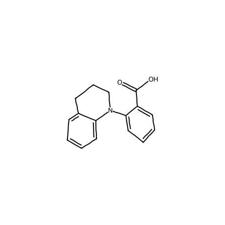 O=C(O)c1ccccc1N1CCCc2ccccc21